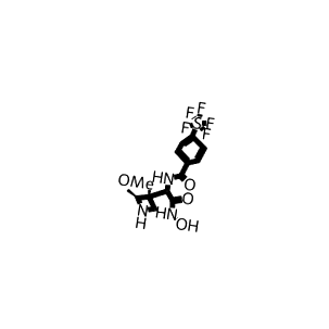 CO[C@@]1(C(NC(=O)c2ccc(S(F)(F)(F)(F)F)cc2)C(=O)NO)CN[C@H]1C